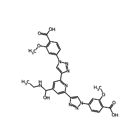 CCNC(O)c1cc(-c2cn(-c3ccc(C(=O)O)c(OC)c3)nn2)nc(-c2cn(-c3ccc(C(=O)O)c(OC)c3)nn2)c1